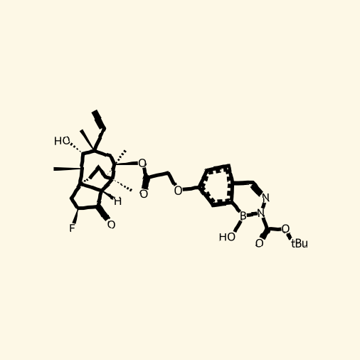 C=C[C@]1(C)C[C@@H](OC(=O)COc2ccc3c(c2)B(O)N(C(=O)OC(C)(C)C)N=C3)[C@]2(C)[C@H](C)CC[C@]3(C[C@H](F)C(=O)[C@H]32)[C@@H](C)[C@@H]1O